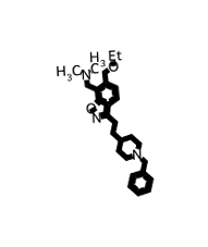 CCOCc1ccc2c(CCC3CCN(Cc4ccccc4)CC3)noc2c1CN(C)C